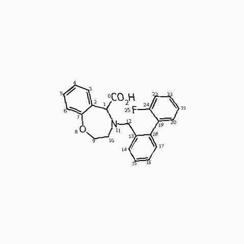 O=C(O)C1c2ccccc2OCCN1Cc1ccccc1-c1ccccc1F